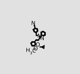 COc1cccc(C=Cc2nc3ccccc3n2Cc2ccc(C#N)cc2)c1OCC1CC1